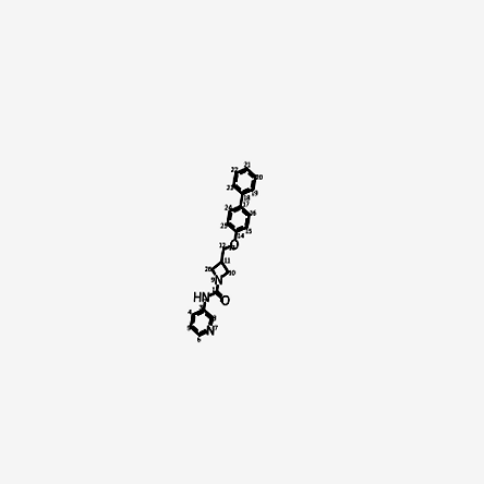 O=C(Nc1cccnc1)N1CC(COc2ccc(-c3ccccc3)cc2)C1